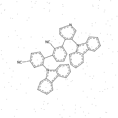 N#Cc1ccc(-c2cccc(-c3ccncc3-n3c4ccccc4c4ccccc43)c2C#N)c(-n2c3ccccc3c3ccccc32)c1